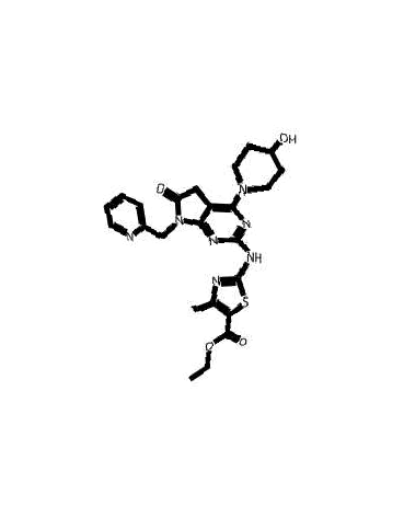 CCOC(=O)c1sc(Nc2nc(N3CCC(O)CC3)c3c(n2)N(Cc2ccccn2)C(=O)C3)nc1C